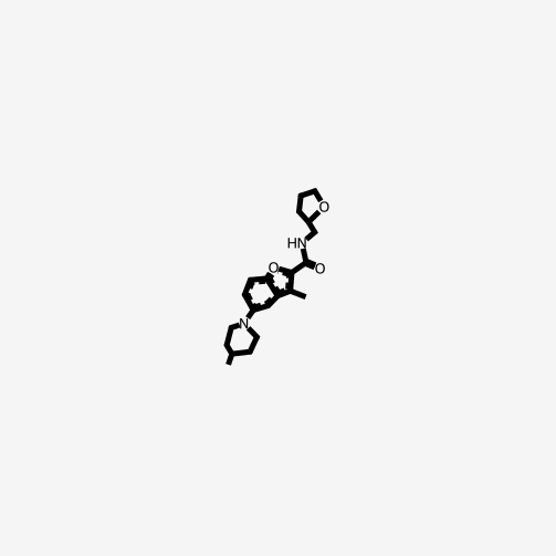 Cc1c(C(=O)NCC2CCCO2)oc2ccc(N3CCC(C)CC3)cc12